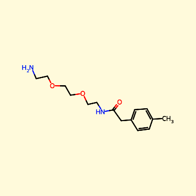 Cc1ccc(CC(=O)NCCOCCOCCN)cc1